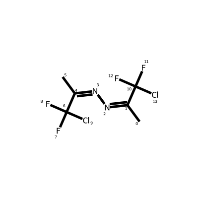 CC(=NN=C(C)C(F)(F)Cl)C(F)(F)Cl